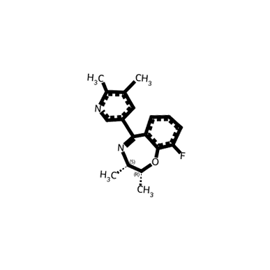 Cc1cc(C2=N[C@@H](C)[C@@H](C)Oc3c(F)cccc32)cnc1C